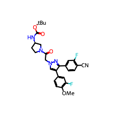 COc1ccc(-c2cn(CC(=O)N3CC[C@@H](NC(=O)OC(C)(C)C)C3)nc2-c2ccc(C#N)c(F)c2)cc1F